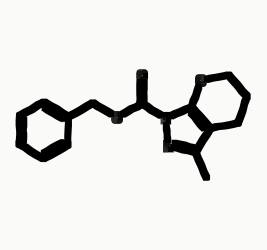 Cc1nn(C(=O)OCc2ccccc2)c2c1CCCO2